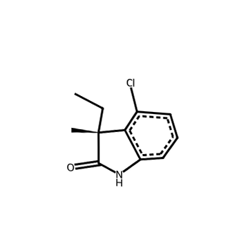 CC[C@@]1(C)C(=O)Nc2cccc(Cl)c21